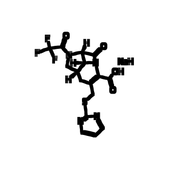 O=C(O)C1=C(CSc2ncccn2)C[C@@H]2CN(C(=O)C(F)(F)F)[C@@H]3C(=O)N1[C@H]23.[NaH]